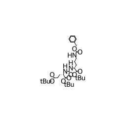 CC(C)(C)OC(=O)CC[C@H](NC(=O)N[C@@H](CCCNC(=O)OCc1ccccc1)C(=O)OC(C)(C)C)C(=O)OC(C)(C)C